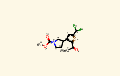 COC(=O)c1sc(C(F)F)cc1C1CCN(C(=O)OC(C)(C)C)C1